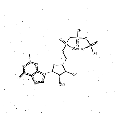 CO[C@H]1C(O)[C@@H](COP(=O)(OC)OP(=O)(O)OP(=O)(O)O)O[C@H]1n1cnc2c(=O)[nH]c(C)nc21